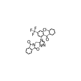 O=C(c1ccccc1Cl)c1ccc(C(F)(F)F)cc1-n1cnnc1CN1C(=O)c2ccccc2C1=O